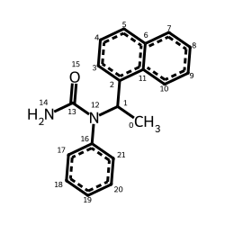 CC(c1cccc2ccccc12)N(C(N)=O)c1ccccc1